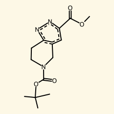 COC(=O)c1cc2c(nn1)CCN(C(=O)OC(C)(C)C)C2